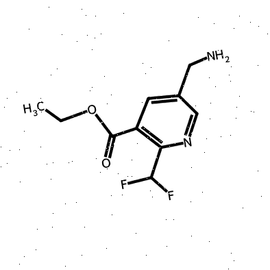 CCOC(=O)c1cc(CN)cnc1C(F)F